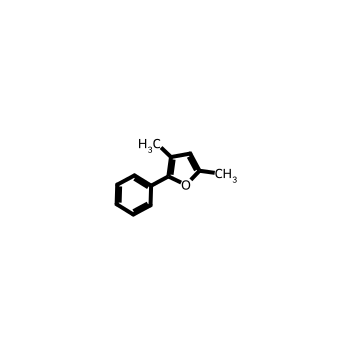 Cc1cc(C)c(-c2ccccc2)o1